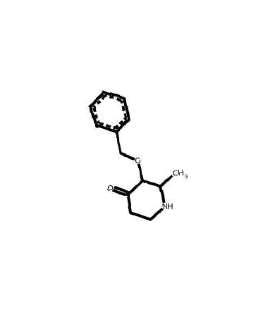 CC1NCCC(=O)C1OCc1ccccc1